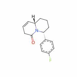 O=C1CC=C[C@@H]2CCC[C@H](c3ccc(F)cc3)N12